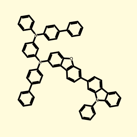 c1ccc(-c2ccc(N(c3ccccc3)c3cccc(N(c4ccc(-c5ccccc5)cc4)c4ccc5oc6cc(-c7ccc8c9ccccc9n(-c9ccccc9)c8c7)ccc6c5c4)c3)cc2)cc1